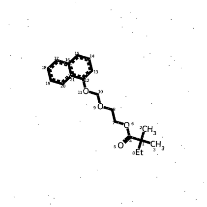 CCC(C)(C)C(=O)OCCOCOc1cccc2ccccc12